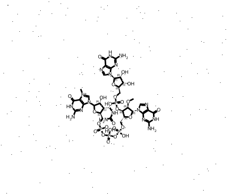 CO[C@@H]1[C@H](OP(=O)(O)OC[C@H]2O[C@@H](n3cnc4c(=O)[nH]c(N)nc43)[C@H](O)[C@@H]2O)[C@@H](COP(=O)(O)OP(=O)(O)OP(=O)(O)OC[C@H]2OC(n3c[n+](C)c4c(=O)[nH]c(N)nc43)[C@H](O)[C@@H]2CNC(N)=O)O[C@H]1n1cnc2c(=O)[nH]c(N)nc21